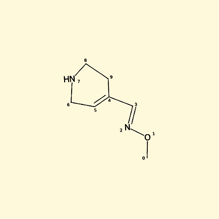 CON=CC1=CCNCC1